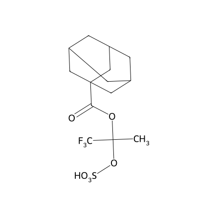 CC(OC(=O)C12CC3CC(CC(C3)C1)C2)(OS(=O)(=O)O)C(F)(F)F